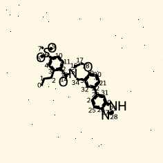 CCCc1cc(S(C)(=O)=O)ccc1C(=O)N1CCOc2ccc(-c3ccc4nc[nH]c4c3)cc2C1